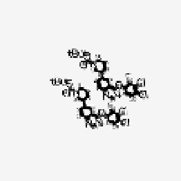 CC(C)(C)OC(=O)N1CCCC(c2ccc3ncnc(Oc4ccc(Cl)c(Cl)c4F)c3c2)C1.CC(C)(C)OC(=O)N1CCC[C@@H](c2ccc3ncnc(Oc4ccc(Cl)c(Cl)c4F)c3c2)C1